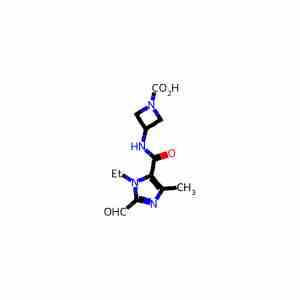 CCn1c(C=O)nc(C)c1C(=O)NC1CN(C(=O)O)C1